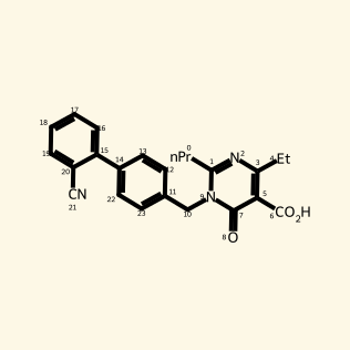 CCCc1nc(CC)c(C(=O)O)c(=O)n1Cc1ccc(-c2ccccc2C#N)cc1